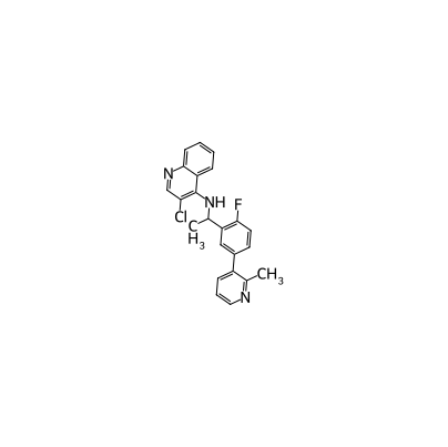 Cc1ncccc1-c1ccc(F)c(C(C)Nc2c(Cl)cnc3ccccc23)c1